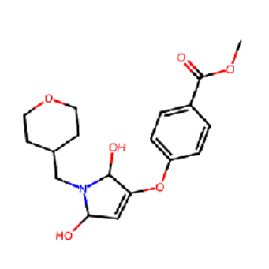 COC(=O)c1ccc(OC2=CC(O)N(CC3CCOCC3)C2O)cc1